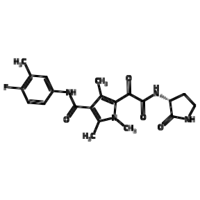 Cc1cc(NC(=O)c2c(C)c(C(=O)C(=O)N[C@@H]3CCNC3=O)n(C)c2C)ccc1F